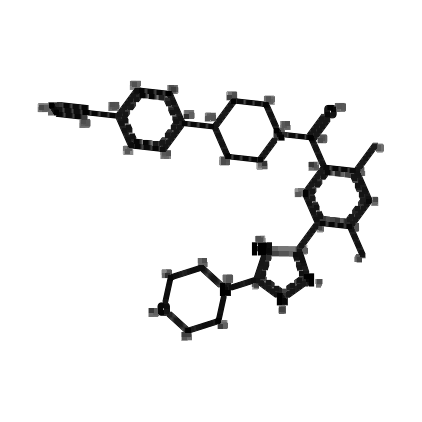 Cc1cc(C)c(-c2nnc(N3CCOCC3)[nH]2)cc1C(=O)N1CCC(c2ccc(C#N)cc2)CC1